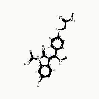 COC(=O)COc1ccc(/C(OC)=C2\C(=O)N(C(C)=O)c3cc(F)ccc32)cc1